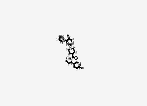 Cc1ccc([C@@H]2CCON2C(=O)C2CCN(c3ncc(F)c(-n4cccn4)n3)CC2)cn1